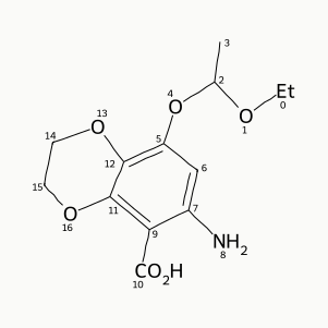 CCOC(C)Oc1cc(N)c(C(=O)O)c2c1OCCO2